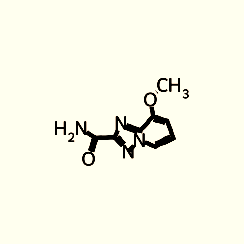 COc1cccn2nc(C(N)=O)nc12